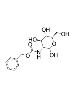 O=C(N[C@H]1C(O)O[C@H](CO)[C@@H](O)[C@@H]1O)OCc1ccccc1